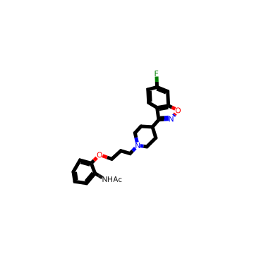 CC(=O)Nc1ccccc1OCCCN1CCC(c2noc3cc(F)ccc23)CC1